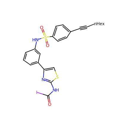 CCCCCCC#Cc1ccc(S(=O)(=O)Nc2cccc(-c3csc(NC(=O)I)n3)c2)cc1